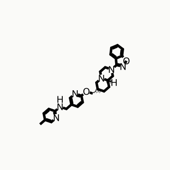 Cc1ccc(NCc2ccc(OC[C@H]3CC[C@H]4CN(c5noc6ccccc56)CCN4C3)nc2)nc1